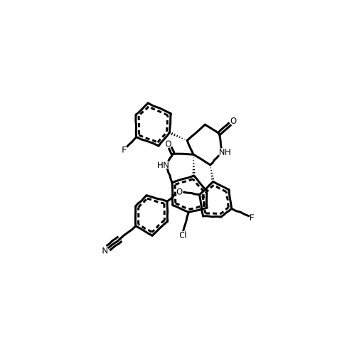 N#Cc1ccc(Oc2ccc(F)cc2[C@H]2NC(=O)C[C@@H](c3cccc(F)c3)[C@]23C(=O)Nc2cc(Cl)ccc23)cc1